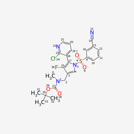 CN(Cc1cn(S(=O)(=O)c2cccc(C#N)c2)c(-c2cccnc2Cl)c1F)C(=O)OC(C)(C)C